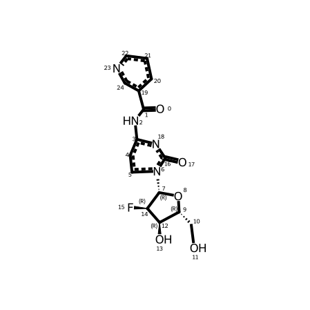 O=C(Nc1ccn([C@@H]2O[C@H](CO)[C@@H](O)[C@H]2F)c(=O)n1)c1cccnc1